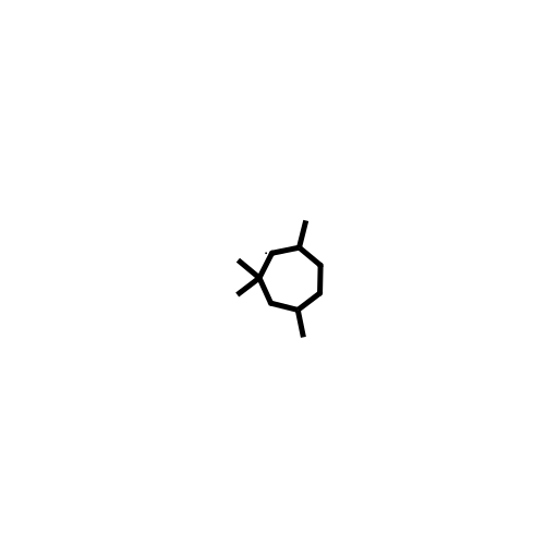 CC1[CH]C(C)(C)CC(C)CC1